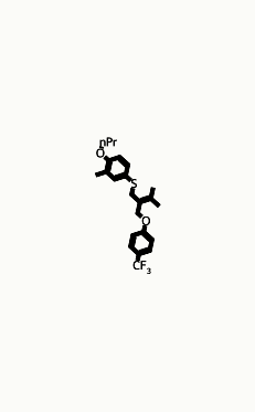 CCCOc1ccc(SCC(COc2ccc(C(F)(F)F)cc2)=C(C)C)cc1C